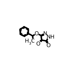 CC(OC1=NNC(=O)C1=O)c1ccccc1